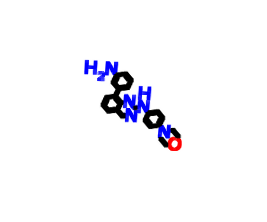 Nc1cccc(-c2cccc3cnc(Nc4ccc(N5CCOCC5)cc4)nc23)c1